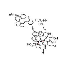 CCCC#Cc1ccc2c(c1)/C(=C1\c3c(ccc4ccccc34)C[C@H]1C)c1cc(C#CCCn3cc(C(=O)N[C@@H](CO)C(=O)NC4CC(=O)NN(C(C(=O)N[C@@H](CCCNC(=N)N)C(=O)N[C@H](C(=O)N[C@@H](C)C(=O)N5CCC[C@H]5C(=O)O)C(C)C)[C@H](C)O)C4=O)nn3)ccc1S2